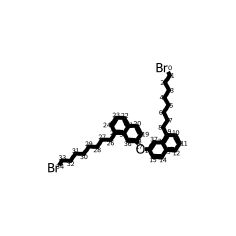 BrCCCCCCCCc1cccc2ccc(Oc3ccc4cccc(CCCCCCCCBr)c4c3)cc12